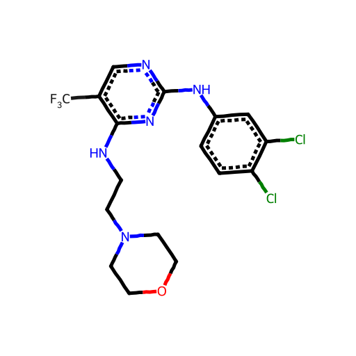 FC(F)(F)c1cnc(Nc2ccc(Cl)c(Cl)c2)nc1NCCN1CCOCC1